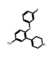 Cc1ccc(Sc2cccc(F)c2)c(C2=CCNCC2)c1